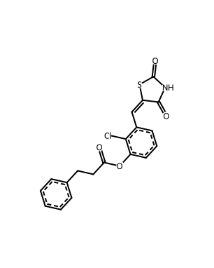 O=C(CCc1ccccc1)Oc1cccc(C=C2SC(=O)NC2=O)c1Cl